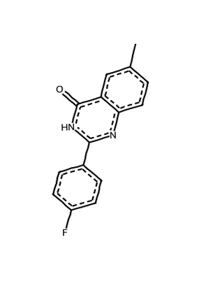 Cc1ccc2nc(-c3ccc(F)cc3)[nH]c(=O)c2c1